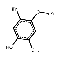 CCCOc1cc(C)c(O)cc1C(C)C